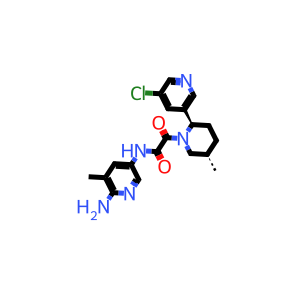 Cc1cc(NC(=O)C(=O)N2C[C@@H](C)CC[C@@H]2c2cncc(Cl)c2)cnc1N